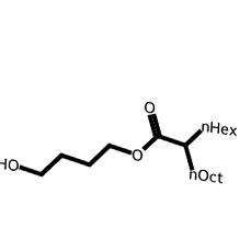 CCCCCCCCC(CCCCCC)C(=O)OCCCCO